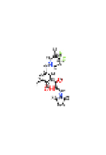 Cc1cc(CN2CCC(F)(F)[C@H](C)C2)cc(C(=O)C=CN2CCCC2)c1O